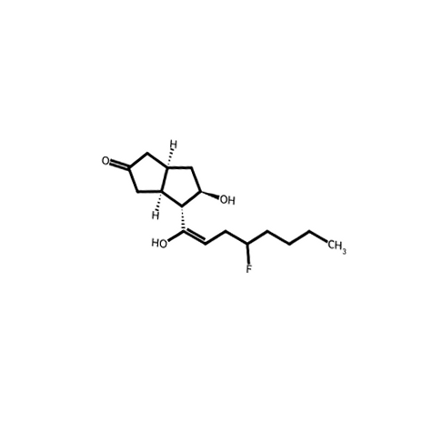 CCCCC(F)C/C=C(/O)[C@@H]1[C@H]2CC(=O)C[C@H]2C[C@H]1O